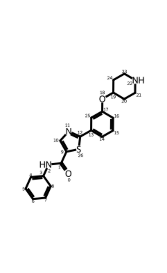 O=C(Nc1ccccc1)c1cnc(-c2cccc(OC3CCNCC3)c2)s1